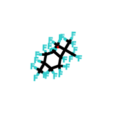 FC(F)(F)C1(F)C(F)(F)C(F)(F)C(F)(C(C(F)(F)F)(C(F)(F)F)C(F)(F)F)C(F)(F)C1(F)F